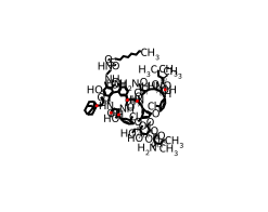 CCCCCCCCS(=O)(=O)NCCNCc1c(O)cc2c(c1O)-c1cc(ccc1O)[C@H]1CC(=O)[C@@H]3NC(=O)[C@H](CC(N)=O)CC(=O)[C@H](NC(=O)[C@H](CC)CC(C)C)[C@H](O)c4ccc(c(Cl)c4)Oc4cc3cc(c4O[C@@H]3O[C@H](CO)[C@@H](O)[C@H](O)[C@H]3O[C@H]3C[C@H](N)[C@H](C)[C@H](C)O3)Oc3ccc(cc3Cl)[C@@H](O)[C@H](NC1=O)C(=O)N[C@@H]2C(=O)CC1C2CC3CC(C2)CC1C3